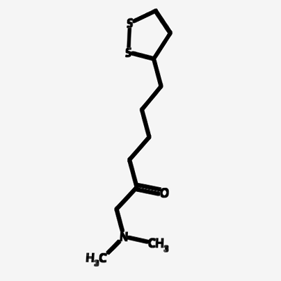 CN(C)CC(=O)CCCCC1CCSS1